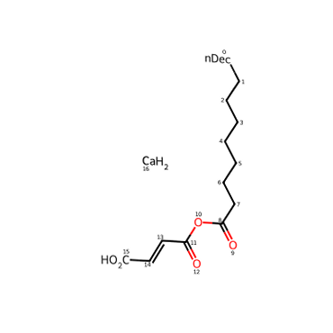 CCCCCCCCCCCCCCCCCC(=O)OC(=O)C=CC(=O)O.[CaH2]